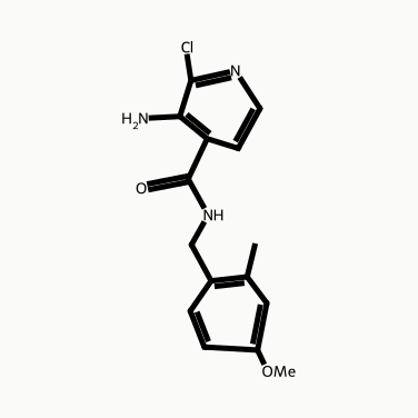 COc1ccc(CNC(=O)c2ccnc(Cl)c2N)c(C)c1